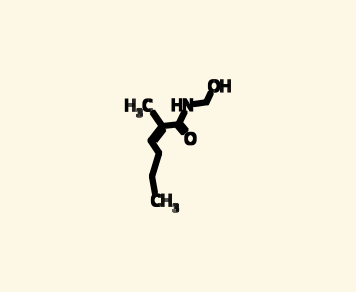 CCCC=C(C)C(=O)NCO